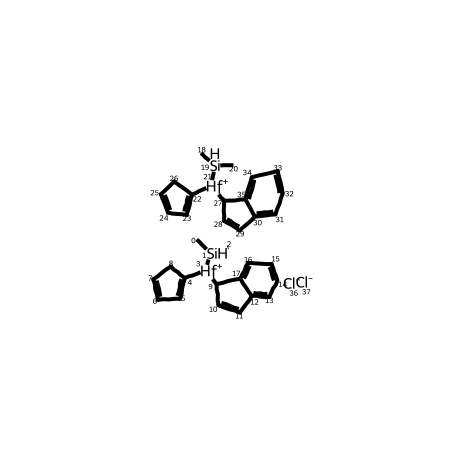 C[SiH](C)[Hf+]([C]1=CC=CC1)[CH]1C=Cc2ccccc21.C[SiH](C)[Hf+]([C]1=CC=CC1)[CH]1C=Cc2ccccc21.[Cl-].[Cl-]